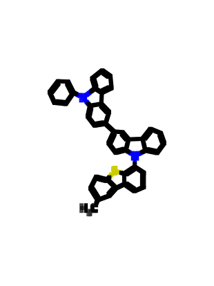 Cc1ccc2sc3c(-n4c5ccccc5c5cc(-c6ccc7c(c6)c6ccccc6n7-c6ccccc6)ccc54)cccc3c2c1